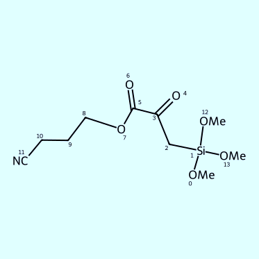 CO[Si](CC(=O)C(=O)OCCCC#N)(OC)OC